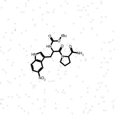 CC(C)(C)OC(=O)NC(Cc1c[nH]c2ccc([N+](=O)[O-])cc12)C(=O)N1CCCC1C(N)=O